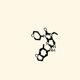 CCn1c(=O)n(C2CCOCC2)c2nc(Nc3cc4c(cc3C)OCC4)ncc21